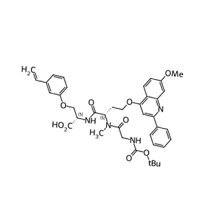 C=Cc1cccc(OC[C@H](NC(=O)[C@H](CCOc2cc(-c3ccccc3)nc3cc(OC)ccc23)N(C)C(=O)CNC(=O)OC(C)(C)C)C(=O)O)c1